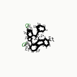 CCc1ccc2c(c1)=[C]([Zr+2]=[C](c1ccccc1)c1ccccc1)C1=C(C3=CC=CC3)C(CC)(C(C)C)C=CC=21.[Cl-].[Cl-]